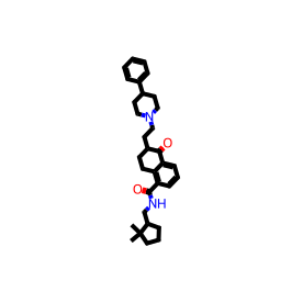 CC1(C)CCCC1CNC(=O)c1cccc2c1CCC(CCN1CCC(c3ccccc3)CC1)C2=O